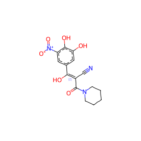 N#C/C(C(=O)N1CCCCC1)=C(/O)c1cc(O)c(O)c([N+](=O)[O-])c1